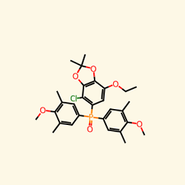 CCOc1cc(P(=O)(c2cc(C)c(OC)c(C)c2)c2cc(C)c(OC)c(C)c2)c(Cl)c2c1OC(C)(C)O2